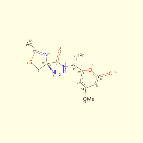 CCC[C@@H](NC(=O)[C@]1(N)CSC(C(C)=O)=N1)c1cc(OC)cc(=O)o1